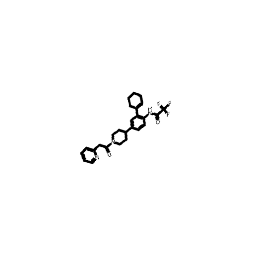 O=C(Cc1ccccn1)N1CCC(c2ccc(NC(=O)C(F)(F)F)c(C3=CCCCC3)c2)CC1